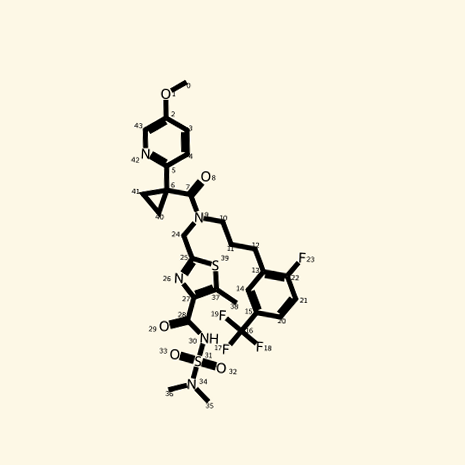 COc1ccc(C2(C(=O)N(CCCc3cc(C(F)(F)F)ccc3F)Cc3nc(C(=O)NS(=O)(=O)N(C)C)c(C)s3)CC2)nc1